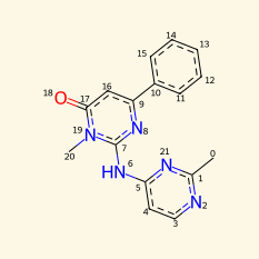 Cc1nccc(Nc2nc(-c3ccccc3)cc(=O)n2C)n1